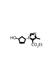 CCOC(=O)c1c(C)ncn1[C@@H]1C=C[C@@H](O)C1